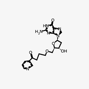 Nc1nc2c(ncn2[C@H]2C[C@H](O)[C@@H](COCCCC(=O)c3cccnc3)O2)c(=O)[nH]1